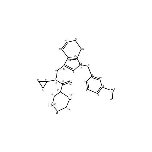 COc1cccc(Cn2cc(CN(C(=O)C3CNCCO3)C3CC3)c3c2CCC=C3)c1